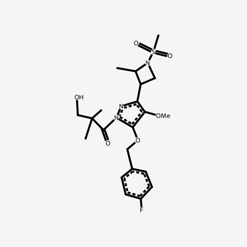 COc1c(C2CN(S(C)(=O)=O)C2C)nn(C(=O)C(C)(C)CO)c1OCc1ccc(F)cc1